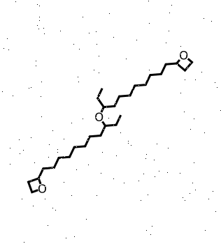 CCC(CCCCCCCCC1CCO1)OC(CC)CCCCCCCCC1CCO1